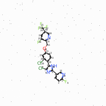 Fc1ccc(-c2nc(Cl)c(-c3ccc(OCc4ncc(C(F)(F)F)cc4F)cc3Cl)[nH]2)cn1